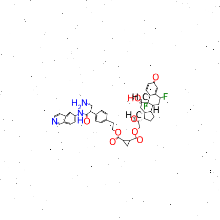 C[C@]12C[C@H](O)[C@@]3(F)[C@@H](C[C@H](F)C4=CC(=O)C=C[C@@]43C)C1CC[C@@H]2C(=O)COC(=O)C1CC1C(=O)OCCc1ccc(C(CN)C(=O)Nc2ccc3cnccc3c2)cc1